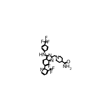 NC(=O)C1CCN(Cc2nc(Nc3ccc(C(F)(F)F)cc3)c3ccc(-c4ncccc4C(F)(F)F)cc3n2)CC1